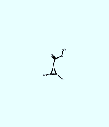 CCCOC(=O)N1[C@@H](C(C)=O)[C@@H]1C(C)=O